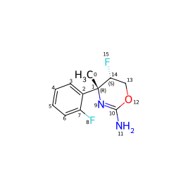 C[C@]1(c2ccccc2F)N=C(N)OC[C@H]1F